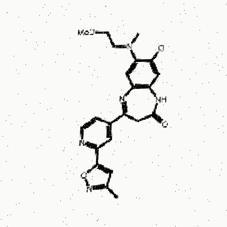 COCCN(C)c1cc2c(cc1Cl)NC(=O)CC(c1ccnc(-c3cc(C)no3)c1)=N2